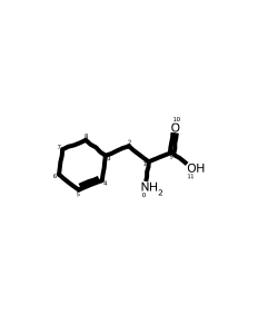 NC(CC1C=CCCC1)C(=O)O